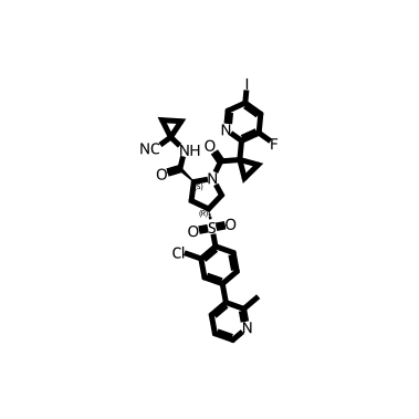 Cc1ncccc1-c1ccc(S(=O)(=O)[C@@H]2C[C@@H](C(=O)NC3(C#N)CC3)N(C(=O)C3(c4ncc(I)cc4F)CC3)C2)c(Cl)c1